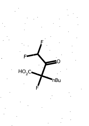 CCCCC(F)(C(=O)O)C(=O)C(F)F